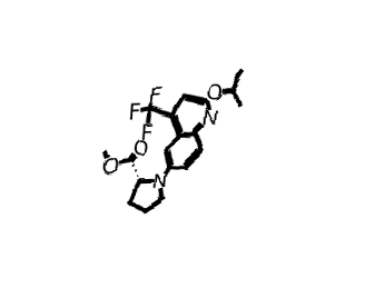 COC(=O)[C@H]1CCCN1c1ccc2nc(OC(C)C)cc(C(F)(F)F)c2c1